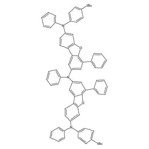 CC(C)(C)c1ccc(N(c2ccccc2)c2ccc3c(c2)oc2c(-c4ccccc4)cc(N(c4ccccc4)c4cc(-c5ccccc5)c5oc6cc(N(c7ccccc7)c7ccc(C(C)(C)C)cc7)ccc6c5c4)cc23)cc1